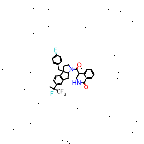 CC(F)(c1ccc2c(c1)CC1N(C(=O)C3CNC(=O)c4ccccc43)CCC21Cc1ccc(F)cc1)C(F)(F)F